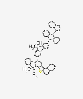 CC1(C)c2ccc(-c3cc4c(sc5ccc6ccccc6c54)c4c3-c3ccccc3C4(C)C)cc2-c2ccc(-c3c4ccccc4c(-c4cccc5ccccc45)c4ccccc34)cc21